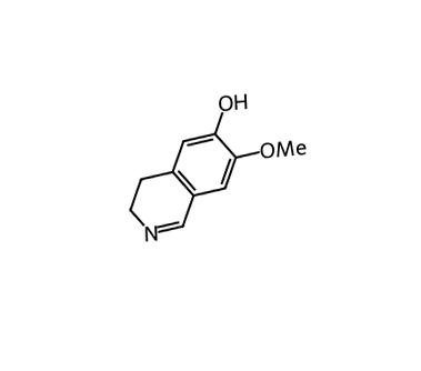 COc1cc2c(cc1O)CCN=C2